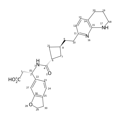 O=C(O)C[C@H](NC(=O)[C@H]1C[C@H](CCc2ccc3c(n2)NCCC3)C1)c1ccc2c(c1)OCC2